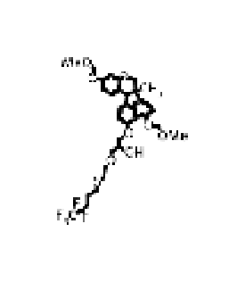 COCOc1ccc(C2(C)COc3cc(OCOC)ccc3C2c2ccc(OCC(O)COCCSCCCC(F)(F)C(F)(F)F)cc2)cc1